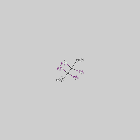 O=C(O)C(P)(P)C(P)(P)C(=O)O